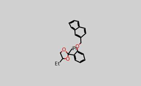 CCC1COC(c2ccccc2OCc2ccc3ccccc3c2)(C(C)C)O1